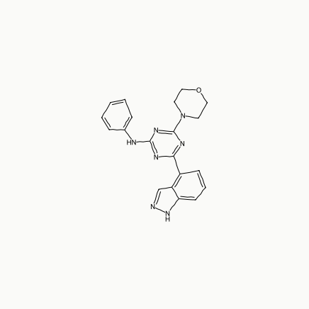 c1ccc(Nc2nc(-c3cccc4[nH]ncc34)nc(N3CCOCC3)n2)cc1